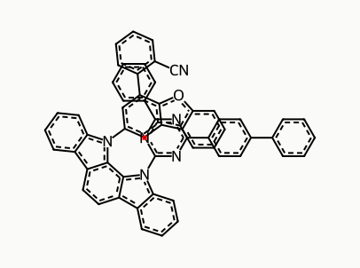 N#Cc1ccccc1-c1cc(-n2c3ccccc3c3ccc4c5ccccc5n(-c5nc(-c6ccccc6)nc(-c6ccc(-c7ccccc7)cc6)n5)c4c32)cc2c1oc1ccccc12